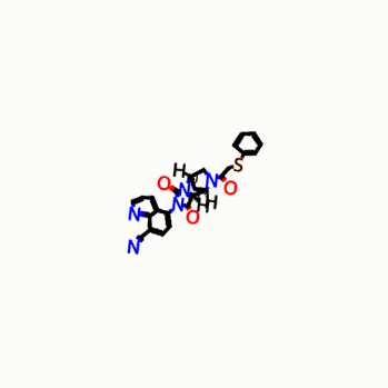 N#Cc1ccc(N2C(=O)[C@H]3[C@H]4C[C@@H](CN4C(=O)CSc4ccccc4)N3C2=O)c2cccnc12